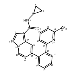 O=C(NC1CC1)c1cnn2cnc(-c3cccnc3-c3cccc(C(F)(F)F)n3)cc12